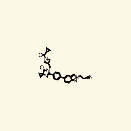 N#CCCn1cc2cc(-c3ccc(C4=NC5(CC5)C(=O)N4CC4CN(C(=O)C5CC5)C4)cc3)ccc2n1